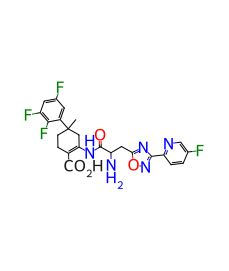 CC1(c2cc(F)cc(F)c2F)CCC(C(=O)O)=C(NC(=O)C(N)Cc2nc(-c3ccc(F)cn3)no2)C1